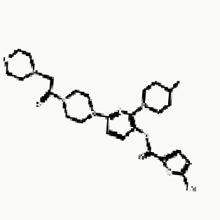 CC1CCN(c2nc(N3CCN(C(=O)CN4CCOCC4)CC3)ccc2NC(=O)c2ccc(C#N)o2)CC1